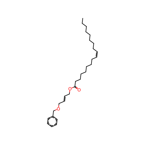 CCCCCCCC/C=C\CCCCCCCC(=O)OCC=CCOCc1ccccc1